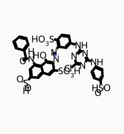 O=C(Nc1cc([SH](=O)=O)cc2cc(S(=O)(=O)O)c(/N=N/c3cc(Nc4nc(Cl)nc(Nc5ccc([SH](=O)=O)cc5)n4)ccc3S(=O)(=O)O)c(O)c12)c1ccccc1